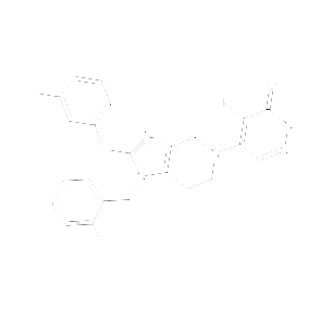 Cc1ccccc1Cn1c(Oc2cccc(F)c2)nc2c1CCN(c1cn[nH]c(=O)c1Cl)C2